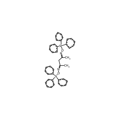 C/C(C/C(C)=N/O[Si](c1ccccc1)(c1ccccc1)c1ccccc1)=N\O[Si](c1ccccc1)(c1ccccc1)c1ccccc1